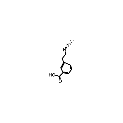 [N-]=[N+]=NCCc1cccc(C(=O)O)c1